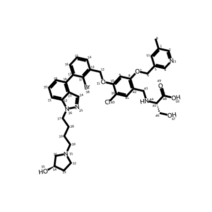 Cc1cncc(COc2cc(OCc3cccc(-c4cccc5c4cnn5CCCCN4CC[C@@H](O)C4)c3Br)c(Cl)cc2CN[C@@H](CO)C(=O)O)c1